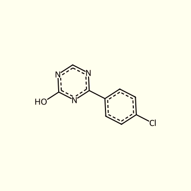 Oc1ncnc(-c2ccc(Cl)cc2)n1